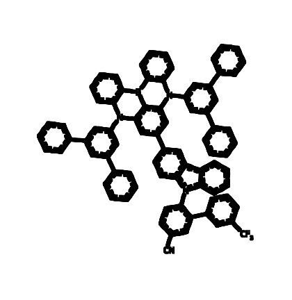 N#Cc1ccc(-n2c3ccccc3c3cc(-c4cc5c6c(c4)N(c4cc(-c7ccccc7)cc(-c7ccccc7)c4)c4ccccc4B6c4ccccc4N5c4cc(-c5ccccc5)cc(-c5ccccc5)c4)ccc32)c(-c2cccc(C(F)(F)F)c2)c1